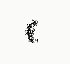 Cc1noc(C)c1Cn1cc(N2C(=O)[C@H]3Cc4ccc(O)cc4CN3C2=O)cn1